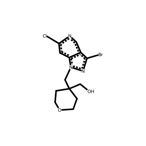 OCC1(Cn2nc(Br)c3cnc(Cl)cc32)CCOCC1